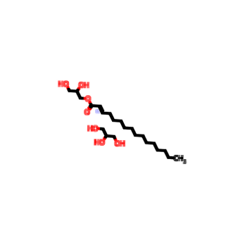 CCCCCCCCCCCCC/C=C/C(=O)OCC(O)CO.OCC(O)CO